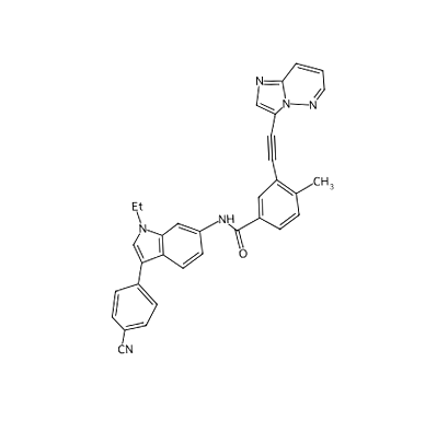 CCn1cc(-c2ccc(C#N)cc2)c2ccc(NC(=O)c3ccc(C)c(C#Cc4cnc5cccnn45)c3)cc21